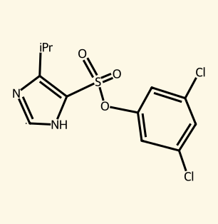 CC(C)c1n[c][nH]c1S(=O)(=O)Oc1cc(Cl)cc(Cl)c1